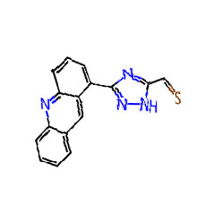 S=Cc1nc(-c2cccc3nc4ccccc4cc23)n[nH]1